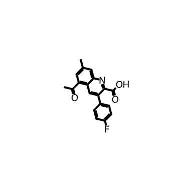 CC(=O)c1cc(C)cc2nc(C(=O)O)c(-c3ccc(F)cc3)cc12